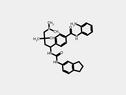 CN(C)CC(C)(C)CC(NC(=O)Nc1ccc2c(c1)CCC2)c1ccc(C(=O)Nc2ccccc2N)cc1